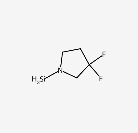 FC1(F)CCN([SiH3])C1